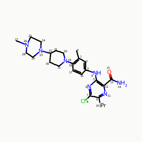 Cc1cc(Nc2nc(Cl)c(C(C)C)nc2C(N)=O)ccc1N1CCC(N2CCN(C)CC2)CC1